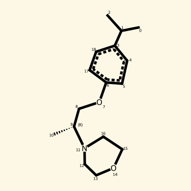 CC(C)c1ccc(OC[C@@H](C)N2CCOCC2)cc1